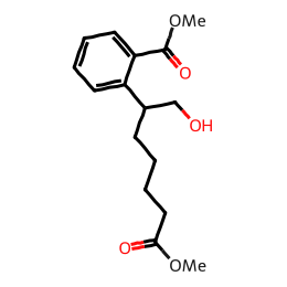 COC(=O)CCCCC(CO)c1ccccc1C(=O)OC